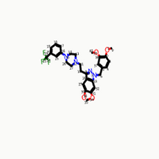 COc1ccc(Cn2nc(CCN3CCN(c4cccc(C(F)(F)F)c4)CC3)c3cc4c(cc32)OCO4)cc1OC